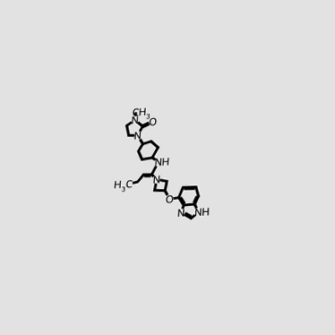 CC/C=C(/NC1CCC(N2CCN(C)C2=O)CC1)N1CC(Oc2cccc3[nH]cnc23)C1